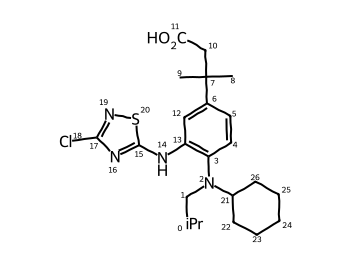 CC(C)CN(c1ccc(C(C)(C)CC(=O)O)cc1Nc1nc(Cl)ns1)C1CCCCC1